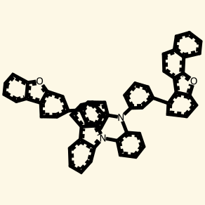 c1cc(-c2cccc3oc4c5ccccc5ccc4c23)cc(N(c2ccc(-c3ccc4c(c3)oc3ccccc34)cc2)c2ccccc2-n2c3ccccc3c3ccccc32)c1